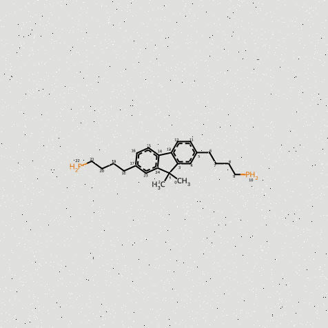 CC1(C)c2cc(CCCCP)ccc2-c2ccc(CCCCP)cc21